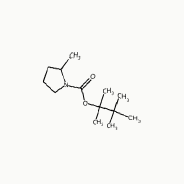 CC1CCCN1C(=O)OC(C)(C)C(C)(C)C